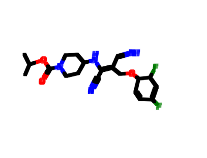 CC(C)OC(=O)N1CCC(N/C(C#N)=C(\C=N)COC2C=CC(F)=CC2F)CC1